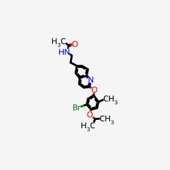 CC(=O)NCCc1ccc2nc(Oc3cc(Br)c(OC(C)C)cc3C)ccc2c1